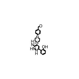 NC1=C(N2CCN(c3ccc(C=O)cc3)CC2)C=C(c2ccccc2O)NN1